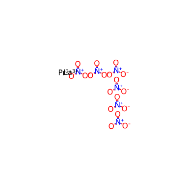 O=[N+]([O-])[O-].O=[N+]([O-])[O-].O=[N+]([O-])[O-].O=[N+]([O-])[O-].O=[N+]([O-])[O-].O=[N+]([O-])[O-].[La+3].[Pr+3]